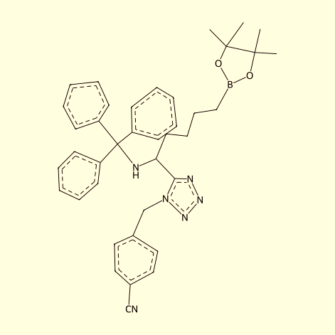 CC1(C)OB(CCCCC(NC(c2ccccc2)(c2ccccc2)c2ccccc2)c2nnnn2Cc2ccc(C#N)cc2)OC1(C)C